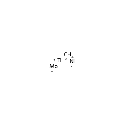 C.[Mo].[Ni].[Ti]